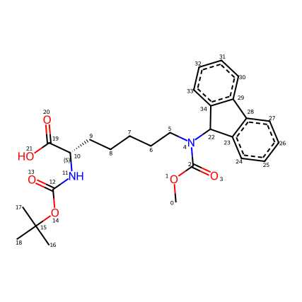 COC(=O)N(CCCCC[C@H](NC(=O)OC(C)(C)C)C(=O)O)C1c2ccccc2-c2ccccc21